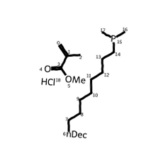 C=C(C)C(=O)OC.CCCCCCCCCCCCCCCCCCP(C)C.Cl